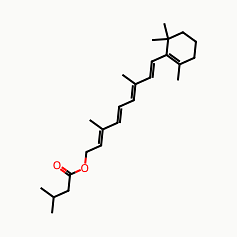 CC1=C(/C=C/C(C)=C/C=C/C(C)=C/COC(=O)CC(C)C)C(C)(C)CCC1